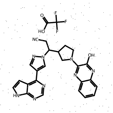 N#CCC(C1CCN(c2nc3ccccc3nc2O)C1)n1cc(-c2ncnc3[nH]ccc23)cn1.O=C(O)C(F)(F)F